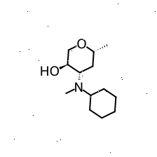 C[C@@H]1C[C@H](N(C)C2CCCCC2)[C@@H](O)CO1